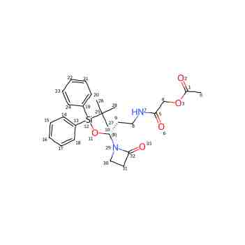 CC(=O)OCC(=O)NCC[C@@H](O[Si](c1ccccc1)(c1ccccc1)C(C)(C)C)N1CCC1=O